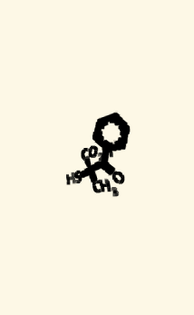 C[C@@](S)(C(=O)O)C(=O)c1ccccc1